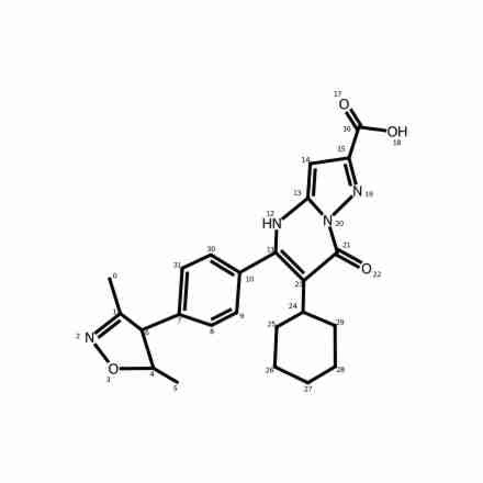 CC1=NOC(C)C1c1ccc(-c2[nH]c3cc(C(=O)O)nn3c(=O)c2C2CCCCC2)cc1